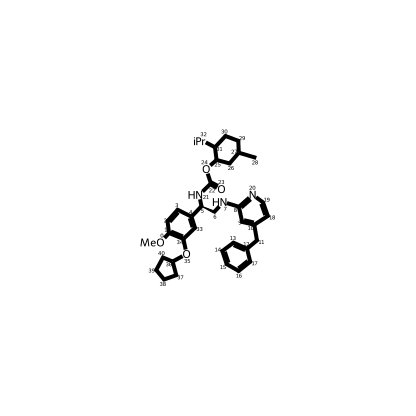 COc1ccc([C@H](CNc2cc(Cc3ccccc3)ccn2)NC(=O)OC2CC(C)CCC2C(C)C)cc1OC1CCCC1